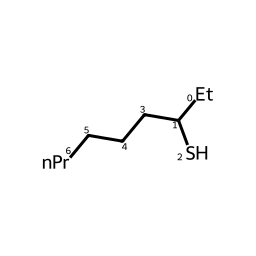 [CH2]CC(S)CCCCCC